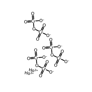 [Ho+3].[Ho+3].[O]=[Cr](=[O])([O-])[O][Cr](=[O])(=[O])[O-].[O]=[Cr](=[O])([O-])[O][Cr](=[O])(=[O])[O-].[O]=[Cr](=[O])([O-])[O][Cr](=[O])(=[O])[O-]